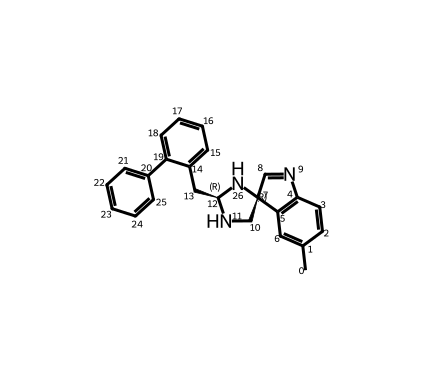 Cc1ccc2c(c1)[C@]1(C=N2)CN[C@@H](Cc2ccccc2-c2ccccc2)N1